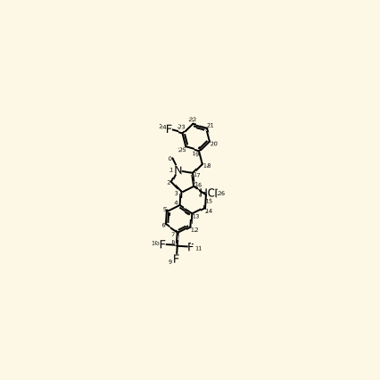 CN1CC2c3ccc(C(F)(F)F)cc3CCC2C1Cc1cccc(F)c1.Cl